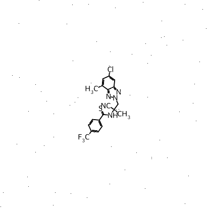 Cc1cc(Cl)cc2nn(CC(C)(C#N)NC(=S)c3ccc(C(F)(F)F)cc3)nc12